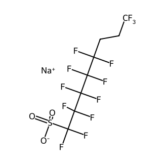 O=S(=O)([O-])C(F)(F)C(F)(F)C(F)(F)C(F)(F)C(F)(F)CCC(F)(F)F.[Na+]